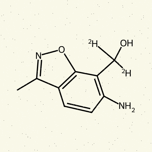 [2H]C([2H])(O)c1c(N)ccc2c(C)noc12